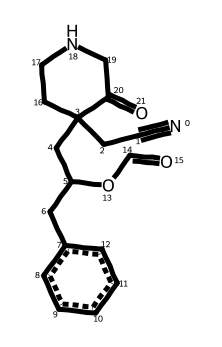 N#CCC1(CC(Cc2ccccc2)OC=O)CCNCC1=O